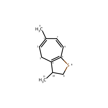 CC1=CCC2=C(C=C1)SCC2C